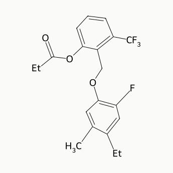 CCC(=O)Oc1cccc(C(F)(F)F)c1COc1cc(C)c(CC)cc1F